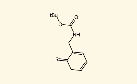 CC(C)(C)OC(=O)NCC1=[C]C=CCC1=S